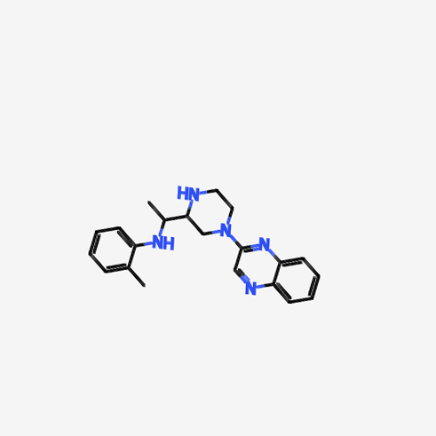 Cc1ccccc1NC(C)C1CN(c2cnc3ccccc3n2)CCN1